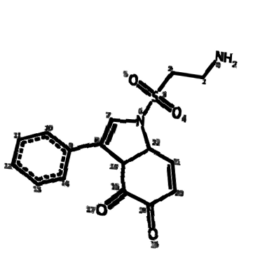 NCCS(=O)(=O)N1C=C(c2ccccc2)C2C(=O)C(=O)C=CC21